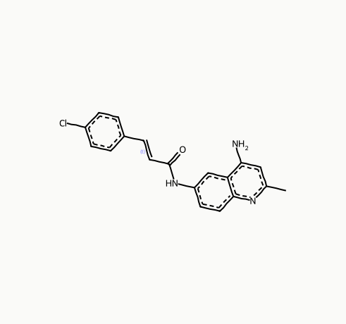 Cc1cc(N)c2cc(NC(=O)/C=C/c3ccc(Cl)cc3)ccc2n1